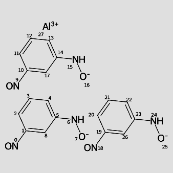 O=Nc1cccc(N[O-])c1.O=Nc1cccc(N[O-])c1.O=Nc1cccc(N[O-])c1.[Al+3]